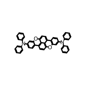 c1ccc(N(c2ccccc2)c2ccc3c(c2)Oc2ccc4c5c(ccc-3c25)Oc2cc(N(c3ccccc3)c3ccccc3)ccc2-4)cc1